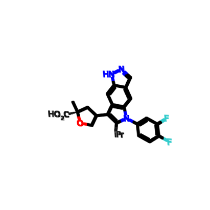 CC(C)c1c(C2CO[C@](C)(C(=O)O)C2)c2cc3[nH]ncc3cc2n1-c1ccc(F)c(F)c1